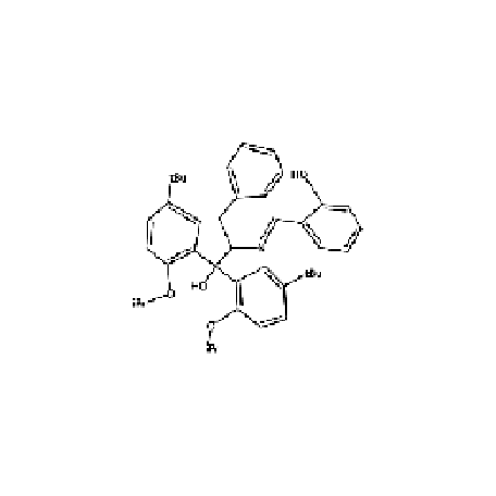 CC(C)Oc1ccc(C(C)(C)C)cc1C(O)(c1cc(C(C)(C)C)ccc1OC(C)C)C(Cc1ccccc1)N=Cc1ccccc1O